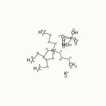 CCCC[N+](CCCC)(CCCC)CCCC.O=P([O-])(O)O.[K+].[OH-]